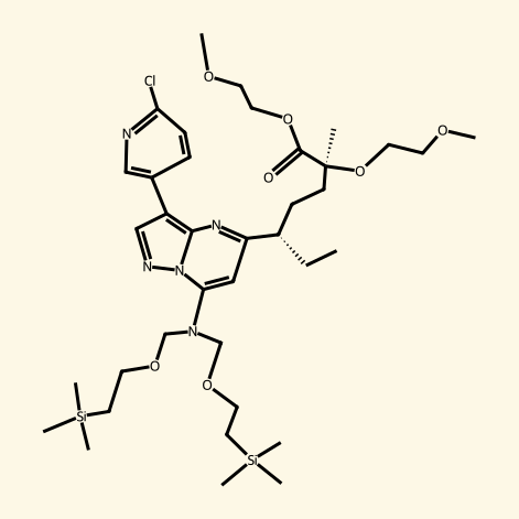 CC[C@@H](CC[C@](C)(OCCOC)C(=O)OCCOC)c1cc(N(COCC[Si](C)(C)C)COCC[Si](C)(C)C)n2ncc(-c3ccc(Cl)nc3)c2n1